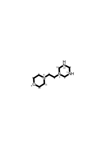 C1NCN(CCN2CCOCC2)CN1